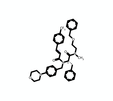 CN(CCOCc1ccccc1)C(=O)[C@H](Cc1ccccc1)N(Cc1ccc(N2CCOCC2)cc1)C(=O)/C=C/c1ccc(C(F)(F)F)cc1